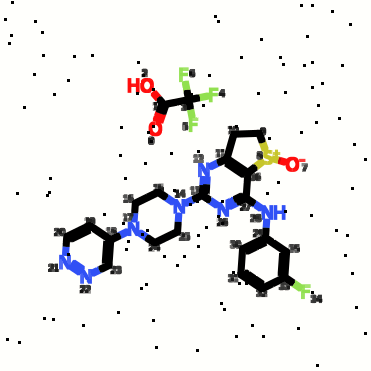 O=C(O)C(F)(F)F.[O-][S+]1CCc2nc(N3CCN(c4ccnnc4)CC3)nc(Nc3cccc(F)c3)c21